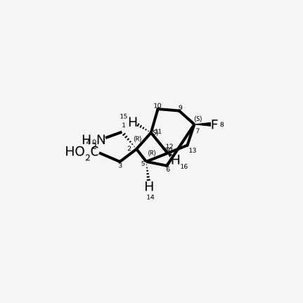 NC[C@@]1(CC(=O)O)[C@@H]2C[C@]3(F)CC[C@H]1[C@H]2C3